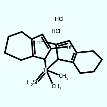 CCCC1=CC2=C(CCCC2)[CH]1[Ti]([CH3])([CH3])(=[SiH2])[CH]1C(CCC)=CC2=C1CCCC2.Cl.Cl